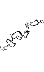 CN1CCN(c2ncc(-c3cccc(Nc4ccc(Cl)cn4)n3)o2)CC1